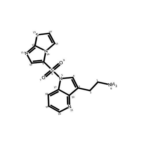 NCCc1cn(S(=O)(=O)c2cnc3sccn23)c2cccnc12